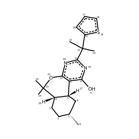 C[C@@H]1CC[C@H]2[C@@H](C1)c1c(O)nc(C(C)(C)c3cccs3)nc1OC2(C)C